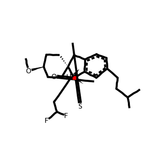 CO[C@H]1CC[C@]2(CC1)Cc1ccc(CCC(C)C)cc1C21NC(=S)N(CC(F)F)C1=O